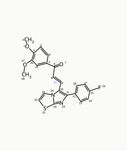 COc1ccc(C(=O)/C=C/c2c(-c3ccc(F)cc3)nc3sccn23)cc1OC